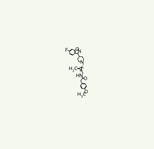 C=C1[C@H](CNC(=O)Cc2ccc(OC)cc2)[C@H]1CN1CCC(c2noc3cc(F)ccc23)CC1